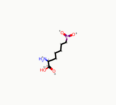 NC(CCCCCP(=O)=O)C(=O)O